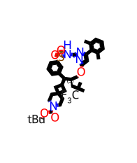 Cc1cccc(C)c1-c1cc2nc(n1)NS(=O)(=O)c1cccc(c1)C(C1CC3(CCN(C(=O)OC(C)(C)C)CC3)C1)[C@H](CC(C)(C)C(F)(F)F)CO2